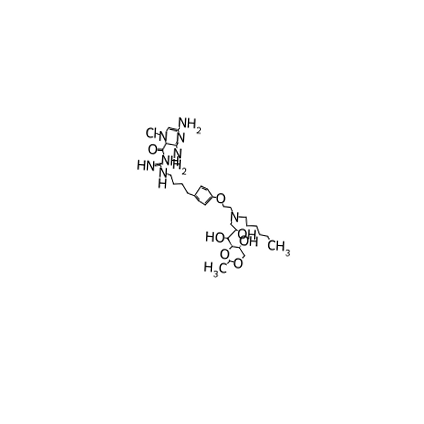 CCCCCCN(CCOc1ccc(CCCCNC(=N)NC(=O)C2C(N)=NC(N)=CN2Cl)cc1)CC(O)C(O)[C@@H]1OC(C)OC[C@H]1O